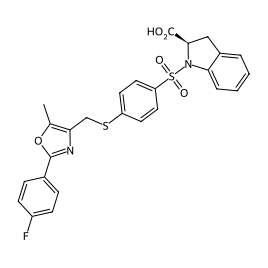 Cc1oc(-c2ccc(F)cc2)nc1CSc1ccc(S(=O)(=O)N2c3ccccc3C[C@@H]2C(=O)O)cc1